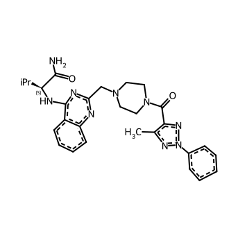 Cc1nn(-c2ccccc2)nc1C(=O)N1CCN(Cc2nc(N[C@H](C(N)=O)C(C)C)c3ccccc3n2)CC1